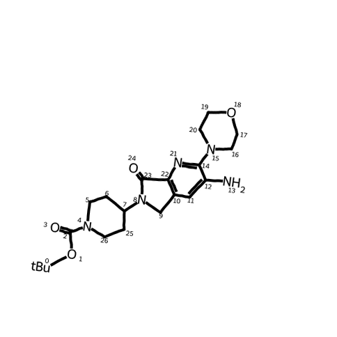 CC(C)(C)OC(=O)N1CCC(N2Cc3cc(N)c(N4CCOCC4)nc3C2=O)CC1